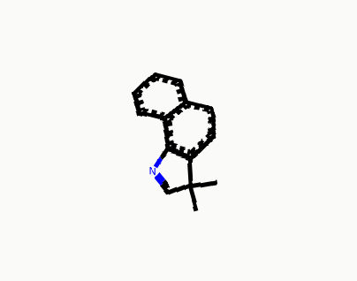 CC1(C)C=Nc2c1ccc1ccccc21